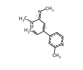 C=C/C(=C\C(=N/C)NC)c1ccnc(C)c1